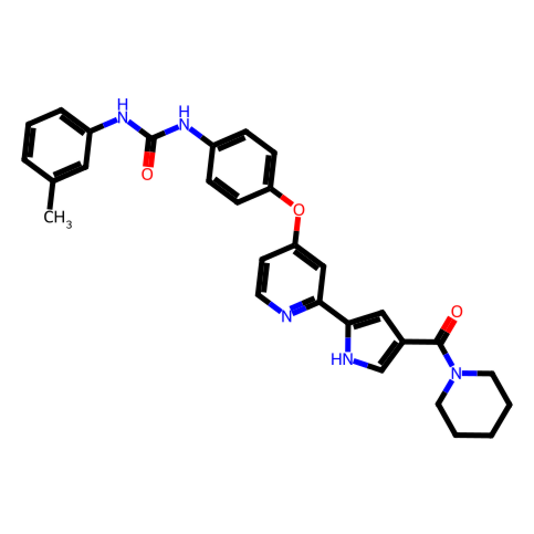 Cc1cccc(NC(=O)Nc2ccc(Oc3ccnc(-c4cc(C(=O)N5CCCCC5)c[nH]4)c3)cc2)c1